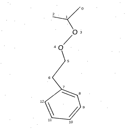 CC(C)OOCCc1ccccc1